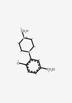 CCOC(=O)c1ccc(Cl)c(N2CCN(C(=O)O)CC2)c1